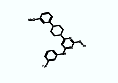 CCOc1nc(Nc2cccc(C(F)(F)F)c2)nc(N2CCN(c3cccc(OC)c3)CC2)n1